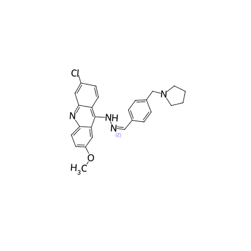 COc1ccc2nc3cc(Cl)ccc3c(N/N=C\c3ccc(CN4CCCC4)cc3)c2c1